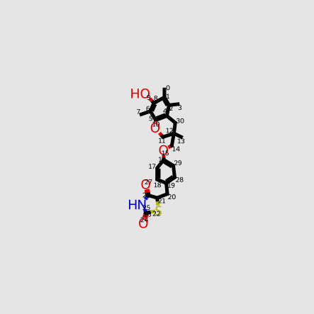 Cc1c(C)c2c(c(C)c1O)OCC(C)(COc1ccc(CC3SC(=O)NC3=O)cc1)C2